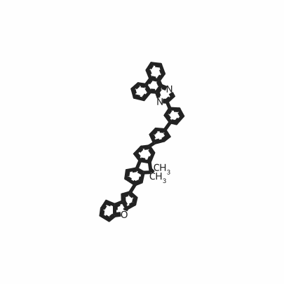 CC1(C)c2cc(-c3ccc(-c4cccc(-c5cnc6c7ccccc7c7ccccc7c6n5)c4)cc3)ccc2-c2ccc(-c3ccc4oc5ccccc5c4c3)cc21